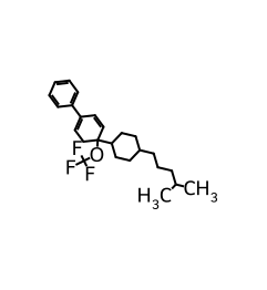 CC(C)CCCC1CCC(C2(OC(F)(F)F)C=CC(c3ccccc3)=CC2)CC1